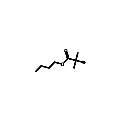 CCCCOC(=O)C(C)(C)[S]